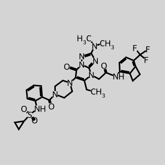 CCc1c(N2CCN(C(=O)c3ccccc3NS(=O)(=O)C3CC3)CC2)c(=O)n2nc(N(C)C)nc2n1CC(=O)Nc1ccc(C(F)(F)F)c2c1CC2